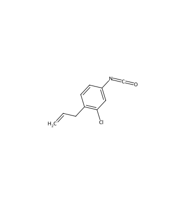 C=CCc1ccc(N=C=O)cc1Cl